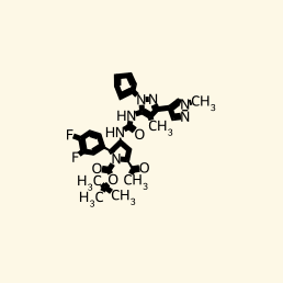 CC(=O)[C@@H]1C[C@@H](NC(=O)Nc2c(C)c(-c3cnn(C)c3)nn2-c2ccccc2)[C@H](c2ccc(F)c(F)c2)N1C(=O)OC(C)(C)C